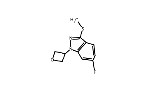 CSc1nn(C2COC2)c2cc(F)ccc12